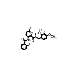 COc1ccc(CNC(=O)c2nc(Br)ccc2NC(=O)c2ccccc2F)c(OC)c1